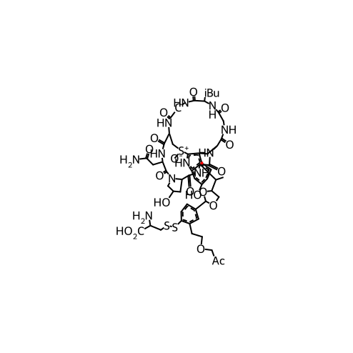 CCC(C)C1NC(=O)CNC(=O)C2Cc3c([nH]c4cc(O)ccc34)[S+]([O-])CC(NC(=O)CNC1=O)C(=O)NC(CC(N)=O)C(=O)N1CC(O)CC1C(=O)NC(C(C)C1COC(c3ccc(SSCC(N)C(=O)O)c(CCOCC(C)=O)c3)O1)C(=O)N2